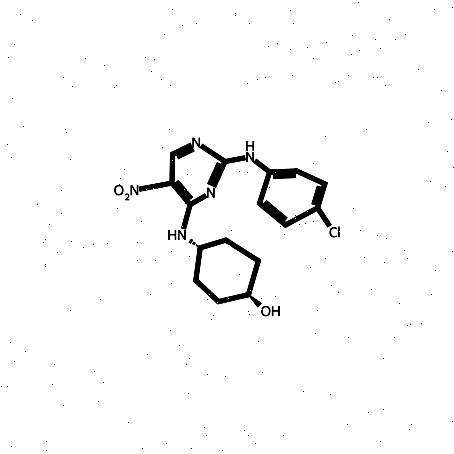 O=[N+]([O-])c1cnc(Nc2ccc(Cl)cc2)nc1N[C@H]1CC[C@H](O)CC1